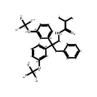 CC(C)C(=O)NCC(Cc1ccccc1)(c1cccc(OC(F)(F)F)c1)c1cccc(OC(F)(F)F)c1